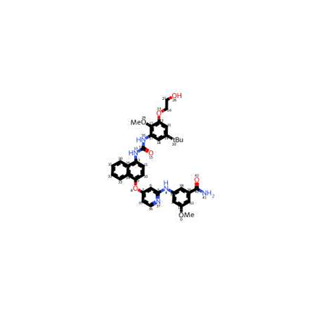 COc1cc(Nc2cc(Oc3ccc(NC(=O)Nc4cc(C(C)(C)C)cc(OCCO)c4OC)c4ccccc34)ccn2)cc(C(N)=O)c1